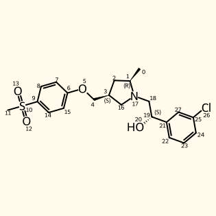 C[C@@H]1C[C@H](COc2ccc(S(C)(=O)=O)cc2)CN1C[C@@H](O)c1cccc(Cl)c1